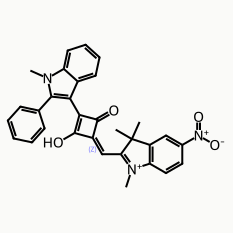 Cn1c(-c2ccccc2)c(C2=C(O)/C(=C/C3=[N+](C)c4ccc([N+](=O)[O-])cc4C3(C)C)C2=O)c2ccccc21